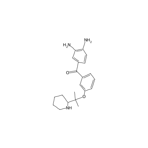 CC(C)(Oc1cccc(C(=O)c2ccc(N)c(N)c2)c1)C1CCCCN1